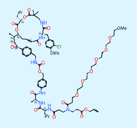 C=CCOC(=O)CCN(CCC(=O)N[C@H](C(=O)N[C@@H](C)C(=O)Nc1ccc(COC(=O)NCc2ccc([C@H]3O[C@@H]3[C@@H](C)[C@@H]3C/C=C/C(=O)N[C@H](Cc4ccc(OC)c(Cl)c4)C(=O)NCC(C)(C)C(=O)O[C@@H](CC(C)C)C(=O)O3)cc2)cc1)C(C)C)C(=O)CCOCCOCCOCCOCCOCCOCCOC